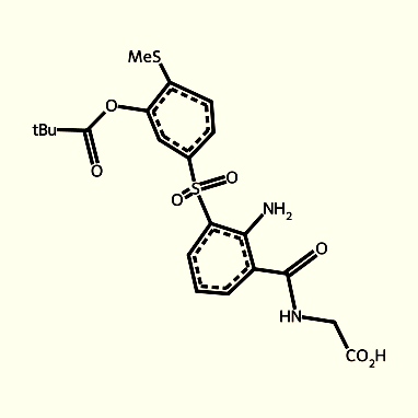 CSc1ccc(S(=O)(=O)c2cccc(C(=O)NCC(=O)O)c2N)cc1OC(=O)C(C)(C)C